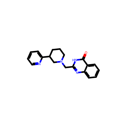 O=c1[nH]c(CN2CCCC(c3ccccn3)C2)nc2ccccc12